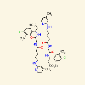 CCOC(=O)CC(NC(=O)CNC(=O)CCCCNc1cc(C)ccn1)c1ccc(Cl)c([N+](=O)[O-])c1.Cc1ccnc(NCCCCC(=O)NCC(=O)NC(CC(=O)O)c2ccc(Cl)c([N+](=O)[O-])c2)c1